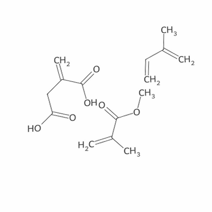 C=C(C)C(=O)OC.C=C(CC(=O)O)C(=O)O.C=CC(=C)C